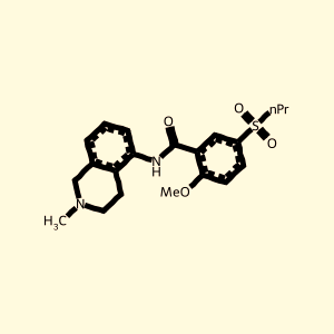 CCCS(=O)(=O)c1ccc(OC)c(C(=O)Nc2cccc3c2CCN(C)C3)c1